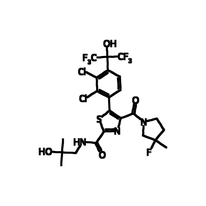 CC(C)(O)CNC(=O)c1nc(C(=O)N2CCC(C)(F)C2)c(-c2ccc(C(O)(C(F)(F)F)C(F)(F)F)c(Cl)c2Cl)s1